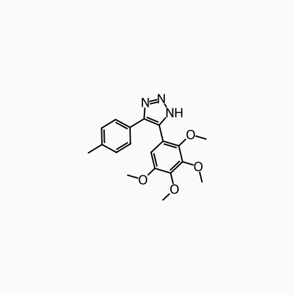 COc1cc(-c2[nH]nnc2-c2ccc(C)cc2)c(OC)c(OC)c1OC